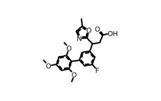 COc1cc(OC)c(-c2cc(F)cc(C(CC(=O)O)c3ncc(C)o3)c2)c(OC)c1